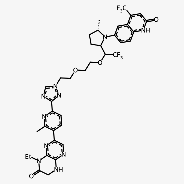 CCN1C(=O)CNc2ncc(-c3ccc(-c4ncn(CCOCCOC(C5CC[C@H](C)N5c5ccc6[nH]c(=O)cc(C(F)(F)F)c6c5)C(F)(F)F)n4)nc3C)nc21